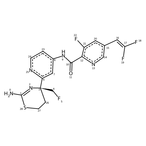 NC1=N[C@](CF)(c2cc(NC(=O)c3ncc(C=C(F)F)cc3F)ccn2)CCS1